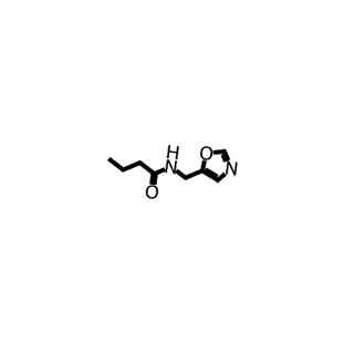 CCCC(=O)NCc1cnco1